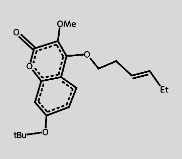 CC/C=C/CCOc1c(OC)c(=O)oc2cc(OC(C)(C)C)ccc12